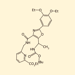 CCOC(=O)c1cccc(CNC(=O)c2nc(-c3ccc(OCC)c(OCC)c3)oc2C(C)NC(=O)OC(C)(C)C)n1